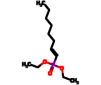 CCCCCCC=CP(=O)(OCC)OCC